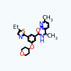 CCc1cnc(-c2cc(OC3CCOCC3)cc(C(=O)N[C@H](C)c3ccc(C)nn3)c2)s1